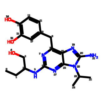 CCC(CO)Nc1nc(Cc2ccc(O)c(O)c2)c2nc(N)n(C(C)C)c2n1